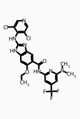 CCOc1cc2[nH]c(Nc3c(Cl)cncc3Cl)nc2cc1C(=O)Nc1cc(C(F)(F)F)cc(N(C)C)n1